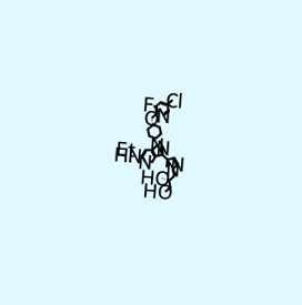 CCNc1cc2c(cn1)c(-c1cnn(C[C@@H](O)CO)c1)nn2[C@H]1CC[C@@H](Oc2ncc(Cl)cc2F)CC1